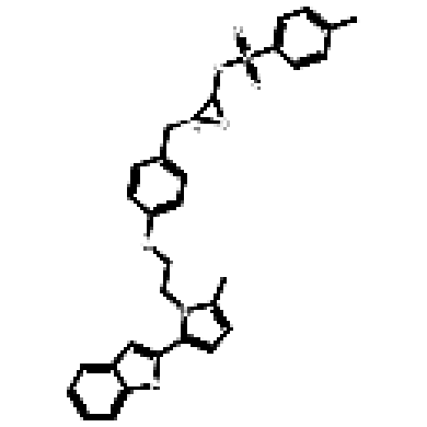 Cc1ccc(S(=O)(=O)OC2O[C@H]2Cc2ccc(OCCn3c(C)ccc3-c3cc4ccccc4o3)cc2)cc1